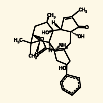 CC1=C[C@H]2[C@@]3(O)[C@H](C)C[C@]4(OC(=O)[C@H](N)CCc5ccccc5)[C@H]([C@@H]3C=C(CO)C[C@]2(O)C1=O)C4(C)C